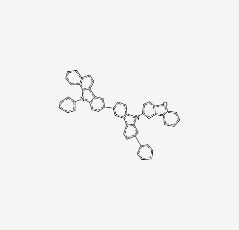 c1ccc(-c2ccc3c4cc(-c5ccc6c(c5)c5ccc7ccccc7c5n6-c5ccccc5)ccc4n(-c4ccc5oc6ccccc6c5c4)c3c2)cc1